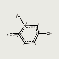 CC(C)n1cc(Cl)ccc1=O